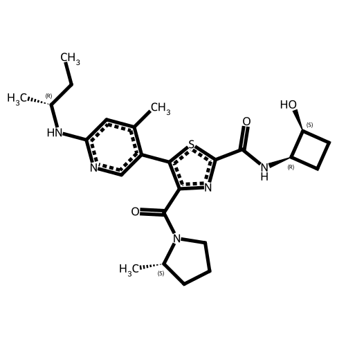 CC[C@@H](C)Nc1cc(C)c(-c2sc(C(=O)N[C@@H]3CC[C@@H]3O)nc2C(=O)N2CCC[C@@H]2C)cn1